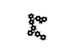 CC1(C)c2ccccc2-c2ccc(-n3c4ccccc4c4ccc(-c5ccc6c(c5)c5ccccc5n6-c5ccc(-c6ccccc6)cc5)cc43)cc21